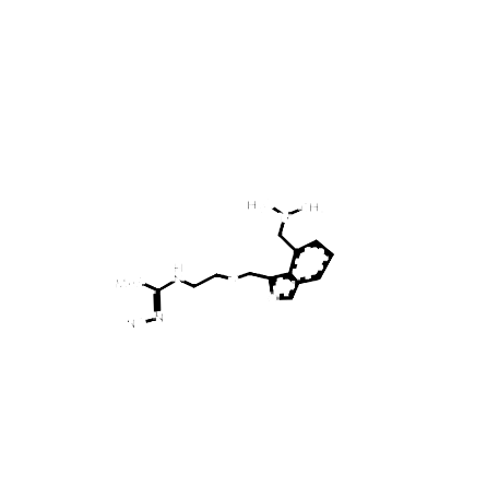 CSC(=NC#N)NCCSCc1occ2cccc(CN(C)C)c12